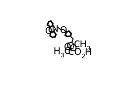 CC1OC(C)(C(=O)O)OCC1Cc1ccc(OCCN2c3ccccc3Oc3ccccc32)cc1